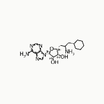 Nc1ncnc2c1ncn2[C@@H]1O[C@H](CC(N)CC2CCCCC2)[C@@H](O)[C@H]1O